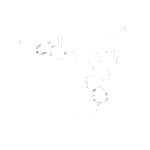 CCCC[C@]1(O)C[C@@H](CCC(=O)Nc2ncc(C)s2)C2C3CCc4cc(OC)ccc4C3CC[C@@]21C